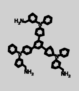 NCc1cccc(N(c2ccccc2)c2ccc(-c3cc(-c4ccc(N(c5ccccc5)c5cccc(CN)c5)cc4)cc(-c4ccc(N(c5ccccc5)c5cccc(CN)c5)cc4)c3)cc2)c1